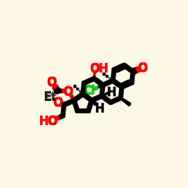 CCC(=O)O[C@]1(C(=O)CO)CC[C@H]2[C@@H]3C[C@H](C)C4=CC(=O)C=C[C@]4(C)[C@@]3(Cl)[C@@H](O)C[C@@]21C